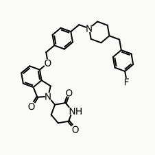 O=C1CCC(N2Cc3c(OCc4ccc(CN5CCC(Cc6ccc(F)cc6)CC5)cc4)cccc3C2=O)C(=O)N1